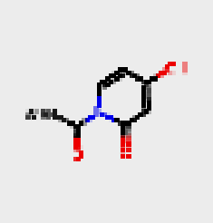 CNC(=O)n1ccc(O)cc1=O